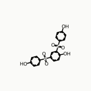 O=S(=O)(c1ccc(O)cc1)c1ccc(O)c(S(=O)(=O)c2ccc(O)cc2)c1